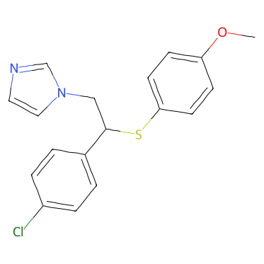 COc1ccc(SC(Cn2ccnc2)c2ccc(Cl)cc2)cc1